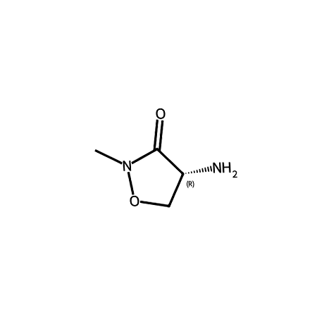 CN1OC[C@@H](N)C1=O